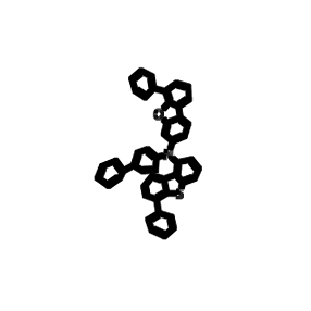 c1ccc(-c2ccc(N(c3ccc4c(c3)oc3c(-c5ccccc5)cccc34)c3cccc4sc5c(-c6ccccc6)cccc5c34)cc2)cc1